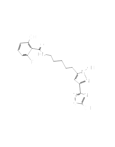 Cc1nc(-c2cc(CCCCCNC(=O)c3c(C)cccc3F)n(C)n2)no1